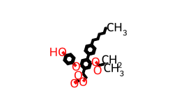 C=C(C)C(=O)Oc1cc(C2COC(=O)O2)c(Oc2ccc(O)cc2)cc1-c1ccc(CCCCCC)cc1